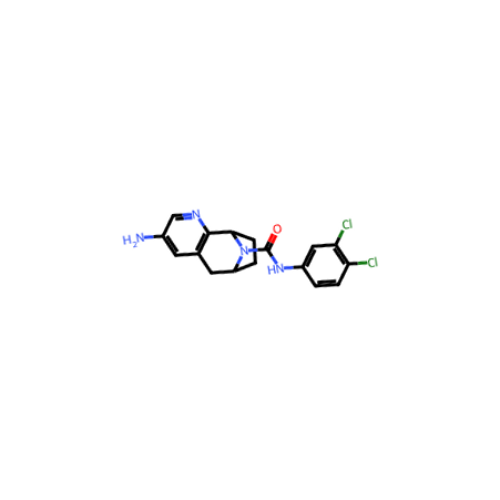 Nc1cnc2c(c1)CC1CCC2N1C(=O)Nc1ccc(Cl)c(Cl)c1